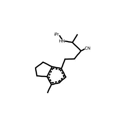 Cc1ccc(CCC(C#N)C(C)NC(C)C)c2c1CCC2